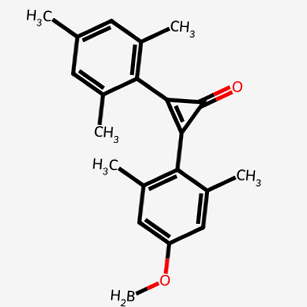 BOc1cc(C)c(-c2c(-c3c(C)cc(C)cc3C)c2=O)c(C)c1